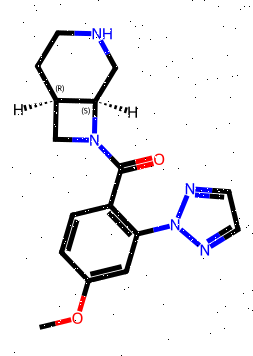 COc1ccc(C(=O)N2C[C@H]3CCNC[C@H]32)c(-n2nccn2)c1